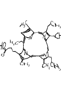 CCC1=C(C)C2=NC1=CC1=NC(=CC3=NC(=C(C)C4=NC(=C2)C(C)=C4CCC(=O)O)C=C3C)C(CC)=C1C